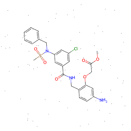 COC(=O)COc1cc(N)ccc1CNC(=O)c1cc(Cl)cc(N(Cc2ccccc2)S(C)(=O)=O)c1